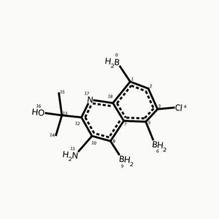 Bc1cc(Cl)c(B)c2c(B)c(N)c(C(C)(C)O)nc12